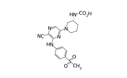 CS(=O)(=O)c1ccc(Nc2nc(N3CCC[C@@H](NC(=O)O)C3)cnc2C#N)cc1